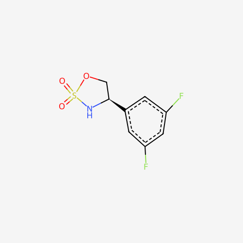 O=S1(=O)N[C@H](c2cc(F)cc(F)c2)CO1